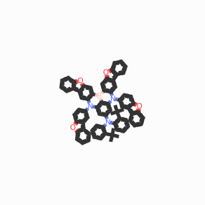 CC(C)(C)c1ccccc1N(c1cc2c3c(c1)N(c1ccc4oc5ccccc5c4c1)c1cc4c(cc1B3c1cc3oc5ccccc5c3cc1N2c1ccc2oc3ccccc3c2c1)oc1ccccc14)c1ccccc1C(C)(C)C